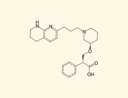 O=C(O)[C@H](CO[C@@H]1CCCN(CCCc2ccc3c(n2)NCCC3)C1)c1ccccc1